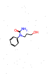 NC(=O)N(CCCO)c1ccccc1